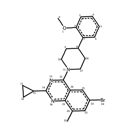 COc1ccccc1C1CCN(c2nc(C3CC3)nc3c(C)cc(Br)cc23)CC1